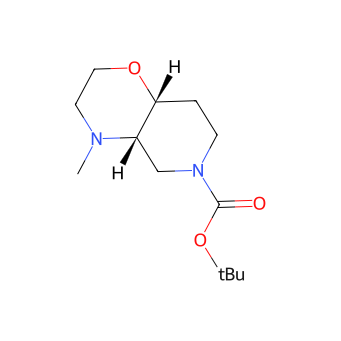 CN1CCO[C@@H]2CCN(C(=O)OC(C)(C)C)C[C@@H]21